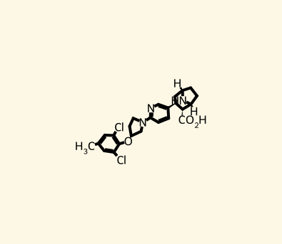 Cc1cc(Cl)c(O[C@@H]2CCN(c3ccc([C@H]4C[C@@H]5CC[C@@H](N5)[C@@H]4C(=O)O)cn3)C2)c(Cl)c1